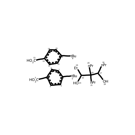 CC(C)(C)c1ccc(C(=O)O)cc1.CC(C)(C)c1ccc(C(=O)O)cc1.CCCC(O)C(CCC)(CCC)C(O)CC